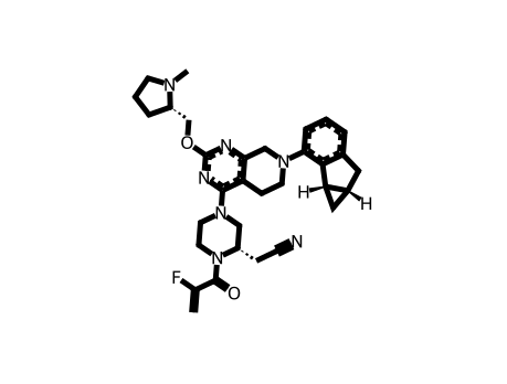 C=C(F)C(=O)N1CCN(c2nc(OC[C@@H]3CCCN3C)nc3c2CCN(c2cccc4c2[C@H]2C[C@H]2C4)C3)C[C@@H]1CC#N